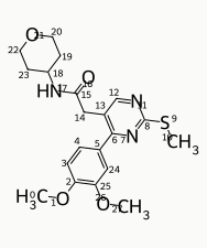 COc1ccc(-c2nc(SC)ncc2CC(=O)NC2CCOCC2)cc1OC